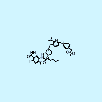 CCCCN(C(=O)Nc1cc(C(N)=O)c(F)cc1F)C1CCN(Cc2ccc(Oc3ccc(CS(C)(=O)=O)cc3)nc2C(C)C)CC1